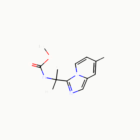 CC(C)(C)OC(=O)NC(C)(C)c1ncc2cc(C(F)(F)F)ccn12